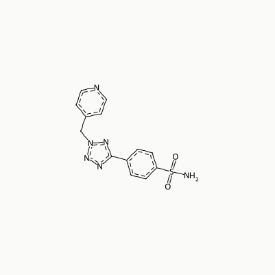 NS(=O)(=O)c1ccc(-c2nnn(Cc3ccncc3)n2)cc1